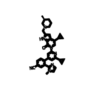 C[C@H]1CCCN(Cc2cc3c(C4CC4)cn(-c4cc(-c5ccc(C#N)cc5-c5nccn5C)cc(C5CC5)n4)c(=O)c3[nH]2)C1